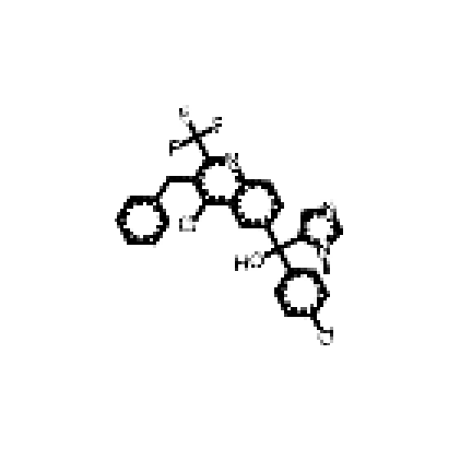 Cn1cncc1C(O)(c1ccc(Cl)cc1)c1ccc2nc(C(F)(F)F)c(Cc3ccccc3)c(Cl)c2c1